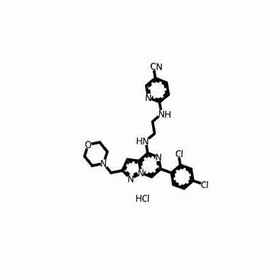 Cl.N#Cc1ccc(NCCNc2nc(-c3ccc(Cl)cc3Cl)cn3nc(CN4CCOCC4)cc23)nc1